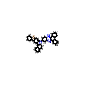 c1ccc(-c2nc3ccc(-n4c5cc6sc7ccccc7c6cc5c5c6ccccc6ccc54)cc3nc2-c2ccccc2)cc1